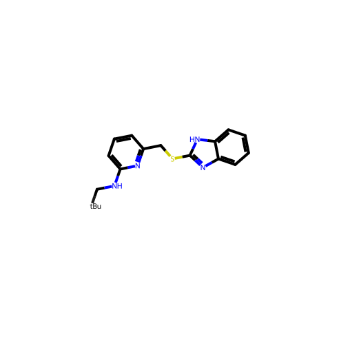 CC(C)(C)CNc1cccc(CSc2nc3ccccc3[nH]2)n1